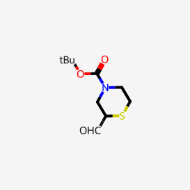 CC(C)(C)OC(=O)N1CCSC(C=O)C1